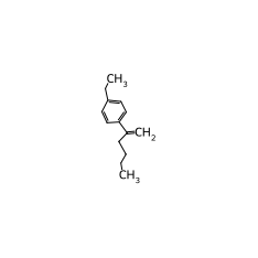 C=C(CCCC)c1ccc(CC)cc1